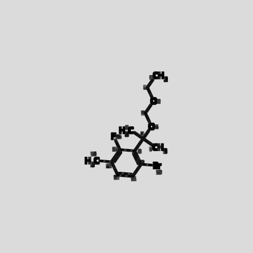 CCOCOC(C)(C)c1c(Br)ccc(C)c1F